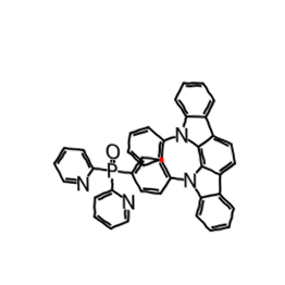 O=P(c1ccc(-n2c3ccccc3c3ccc4c5ccccc5n(-c5ccccc5)c4c32)cc1)(c1ccccn1)c1ccccn1